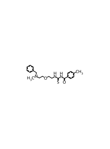 Cc1ccc(C(=O)NC(=S)NCCOCCN(C)Cc2ccccc2)cc1